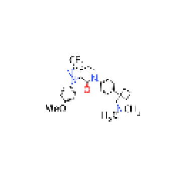 COc1ccc(-n2nc(C(F)(F)F)c3c2C(=O)N(c2ccc(C4(CN(C)C)CCC4)cc2)CC3)cc1